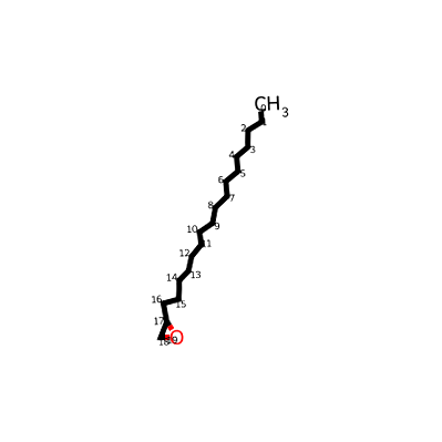 CCCCCCCCCCCCCCCCCC1CO1